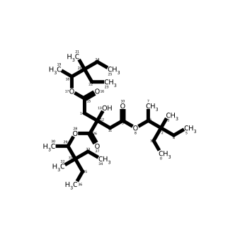 CCC(C)(CC)C(C)OC(=O)CC(O)(CC(=O)OC(C)C(C)(CC)CC)C(=O)OC(C)C(C)(CC)CC